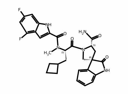 CN(C(=O)c1cc2c(F)cc(F)cc2[nH]1)[C@@H](CC1CCC1)C(=O)N1C[C@]2(C[C@H]1C(N)=O)C(=O)Nc1ccccc12